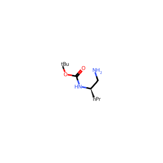 CCC[C@H](CN)NC(=O)OC(C)(C)C